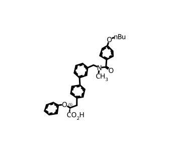 CCCCOc1ccc(C(=O)N(C)Cc2cccc(-c3ccc(C[C@H](Oc4ccccc4)C(=O)O)cc3)c2)cc1